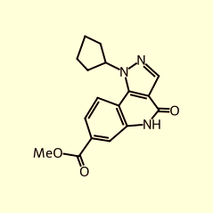 COC(=O)c1ccc2c(c1)[nH]c(=O)c1cnn(C3CCCC3)c12